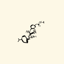 CC(C)c1ccc(Nc2nc3cc(CC(=O)O)ccc3[nH]2)cc1